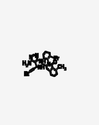 CCC#CC(=N)c1c(N)ncnc1NCc1cc2cccc(C)c2c(=O)n1-c1ccccc1C(C)C